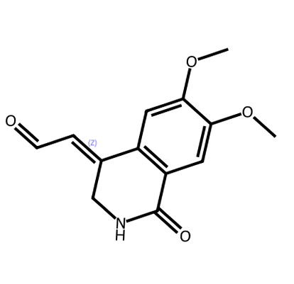 COc1cc2c(cc1OC)/C(=C/C=O)CNC2=O